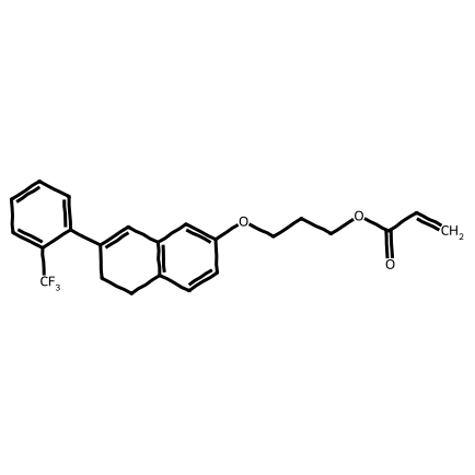 C=CC(=O)OCCCOc1ccc2c(c1)C=C(c1ccccc1C(F)(F)F)CC2